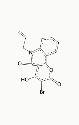 C=CCn1c(=O)c2c(O)c(Br)c(=O)oc2c2ccccc21